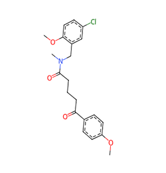 COc1ccc(C(=O)CCCC(=O)N(C)Cc2cc(Cl)ccc2OC)cc1